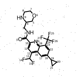 O=C(NCC1COCCN1)c1cc(C(F)F)c2cc(C3CC3)cc(C(F)(F)F)c2n1